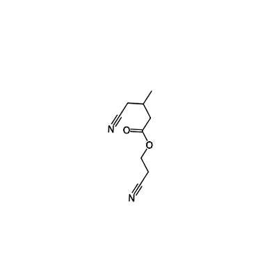 CC(CC#N)CC(=O)OCCC#N